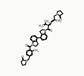 C=C(C)/C(=C\C=C(/C)CN1CCCC1=O)C(=O)N1CCc2c(-c3cccc4c3CCN4C(=O)c3ccc(CN4CCCC4=O)cc3C)cccc21